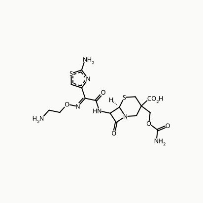 NCCON=C(C(=O)NC1C(=O)N2CC(COC(N)=O)(C(=O)O)CS[C@H]12)c1csc(N)n1